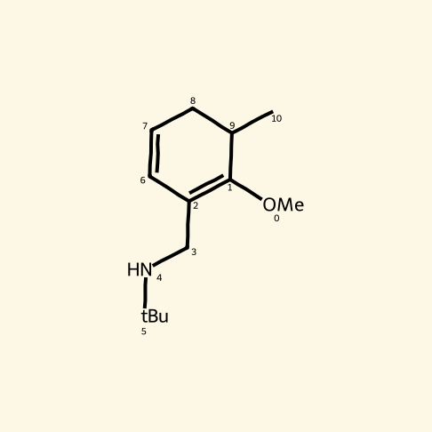 COC1=C(CNC(C)(C)C)C=CCC1C